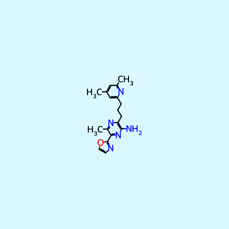 Cc1cc(C)nc(CCCc2nc(C)c(-c3ncco3)nc2N)c1